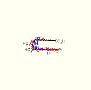 CC(C)C(=O)COCCOCCNC(=O)COCCOCCNC(=O)CCC(NC(=O)CCC(NC(=O)CC[C@H](NC(=O)CCCCCCCCCCCCCCCCC(=O)O)C(=O)O)C(=O)O)C(=O)O